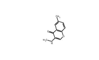 CNc1coc2ccc(C)cc2c1=O